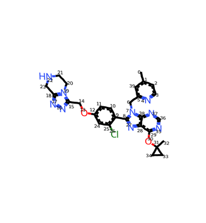 Cc1ccnc(Cn2c(-c3ccc(OCc4nnc5n4CCNC5)cc3Cl)nc3c(OC4(C)CC4)ncnc32)c1